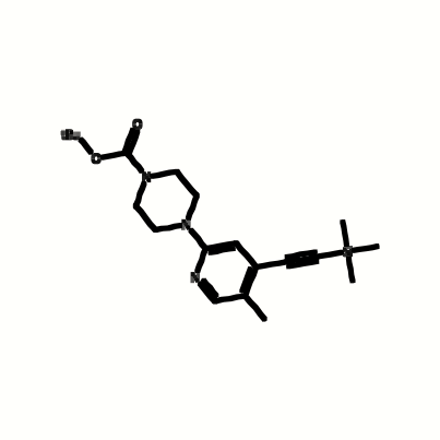 Cc1cnc(N2CCN(C(=O)OC(C)(C)C)CC2)cc1C#C[Si](C)(C)C